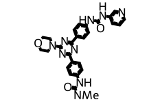 CNC(=O)Nc1ccc(-c2nc(-c3ccc(NC(=O)Nc4cccnc4)cc3)nc(N3CCOCC3)n2)cc1